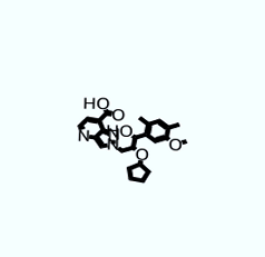 COc1cc(C(O)C(Cn2cc3nccc(C(=O)O)c3n2)OC2CCCC2)c(C)cc1C